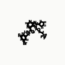 C[Si](C)(C)CCOCn1c(C2CCCC2)nc2ncnc(C(=O)NCc3cc(F)cc(Br)c3)c21